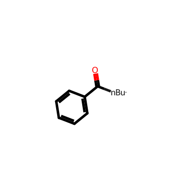 CCC[CH]C(=O)c1ccccc1